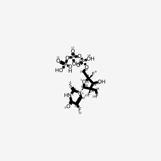 O=c1[nH]c(=S)n([C@@H]2O[C@](F)(COP(=O)(O)OP(=O)(O)OP(=O)(O)O)C(O)[C@]2(F)CF)cc1F